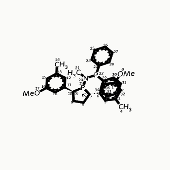 COc1cc(C)cc([C@@H]2CC[C@@H](c3cc(C)cc(OC)c3)P2N(C)P(c2ccccc2)c2ccccc2)c1